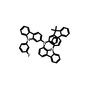 CC1(C)c2ccccc2-c2ccc(N(c3ccc4c5ccccc5n(-c5cccc(F)c5)c4c3)c3cccc4c5ccccc5n(-c5ccccc5)c34)cc21